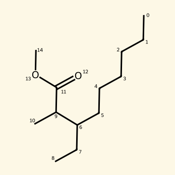 CCCCCCC(CC)C(C)C(=O)OC